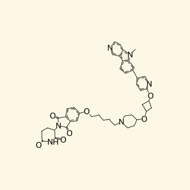 Cn1c2ccncc2c2ccc(-c3ccc(OC4CC(OC5CCN(CCCCCOc6ccc7c(c6)C(=O)N(C6CCC(=O)NC6=O)C7=O)CC5)C4)nc3)cc21